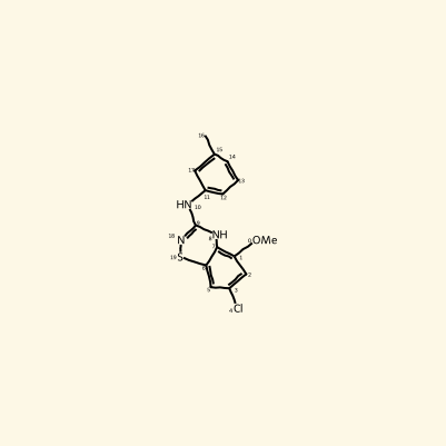 COc1cc(Cl)cc2c1NC(Nc1cccc(C)c1)=NS2